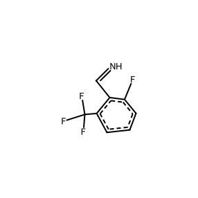 N=Cc1c(F)cccc1C(F)(F)F